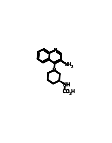 Nc1cnc2ccccc2c1N1CCC[C@H](NC(=O)O)C1